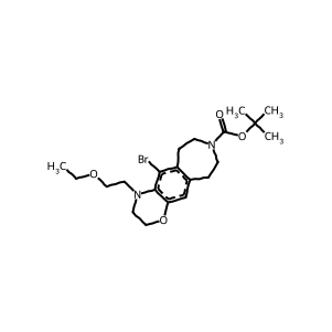 CCOCCN1CCOc2cc3c(c(Br)c21)CCN(C(=O)OC(C)(C)C)CC3